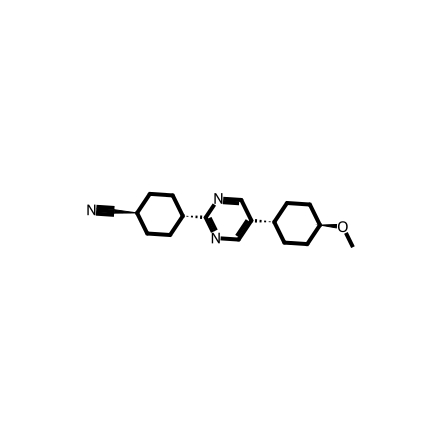 CO[C@H]1CC[C@H](c2cnc([C@H]3CC[C@H](C#N)CC3)nc2)CC1